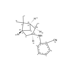 C[C@H]1[C@@H](Nc2ccccc2C#N)C[C@H]2C[C@H]1C2(C)C